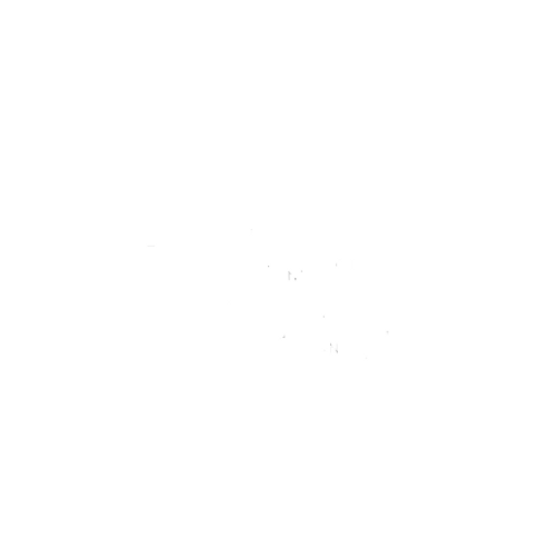 Cc1ccc2nc(-c3ncccc3C)ccc2c1